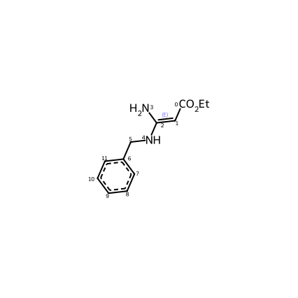 CCOC(=O)/C=C(\N)NCc1ccccc1